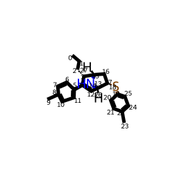 CCC[C@H]1C(c2ccc(C)cc2)=C[C@@H]2N[C@H]1C[C@@H]2Sc1ccc(C)cc1